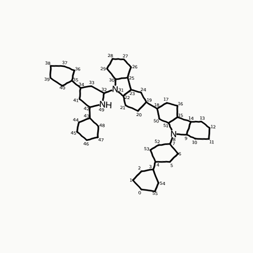 C1CCC(C2CCC(N3C4CCCCC4C4CCC(C5CCC6C(C5)C5CCCCC5N6C5CC(C6CCCCC6)CC(C6CCCCC6)N5)CC43)CC2)CC1